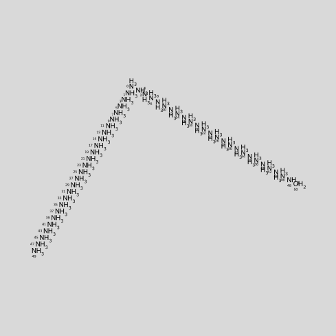 N.N.N.N.N.N.N.N.N.N.N.N.N.N.N.N.N.N.N.N.N.N.N.N.N.N.N.N.N.N.N.N.N.N.N.N.N.N.N.N.N.N.N.N.N.N.N.N.N.N.O